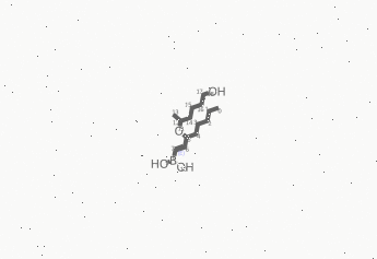 CCCCCC(/C=C/B(O)O)OC(C)CCCCO